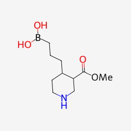 COC(=O)C1CNCCC1CCCB(O)O